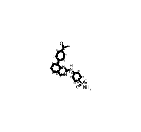 CC(=O)c1ccc(-c2cccc3cnc(Nc4ccc(S(N)(=O)=O)cc4)nc23)cc1